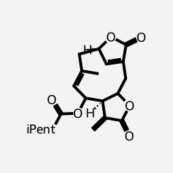 C=C1C(=O)OC2CC3=C[C@@H](C/C(C)=C/C(OC(=O)C(C)CCC)[C@H]12)OC3=O